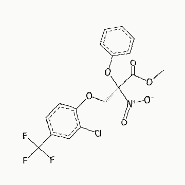 COC(=O)[C@](COc1ccc(C(F)(F)F)cc1Cl)(Oc1ccccc1)[N+](=O)[O-]